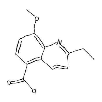 CCc1ccc2c(C(=O)Cl)ccc(OC)c2n1